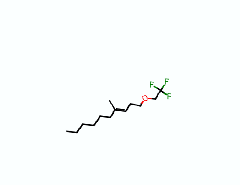 CCCCCC/C(C)=C/CCOCC(F)(F)F